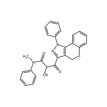 CN(C(=O)C(C#N)C(=O)c1nn(-c2ccccc2)c2c1CSc1ccccc1-2)c1ccccc1